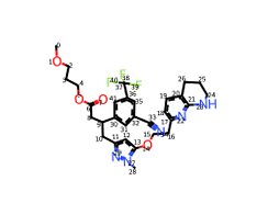 COCCCOC(=O)CC(Cc1cc(OCCc2ccc3c(n2)NCCC3)n(C)n1)c1cc(C#N)cc(C(F)(F)F)c1